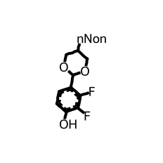 CCCCCCCCCC1COC(c2ccc(O)c(F)c2F)OC1